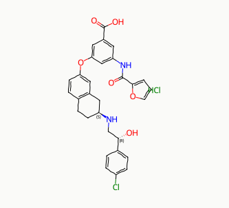 Cl.O=C(O)c1cc(NC(=O)c2ccco2)cc(Oc2ccc3c(c2)C[C@@H](NC[C@H](O)c2ccc(Cl)cc2)CC3)c1